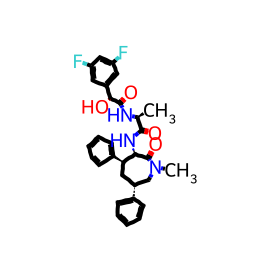 C[C@H](NC(=O)[C@@H](O)c1cc(F)cc(F)c1)C(=O)N[C@@H]1C(=O)N(C)C[C@H](c2ccccc2)C[C@H]1c1ccccc1